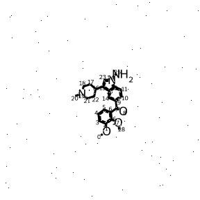 COc1cccc(C(=O)c2ccc3c(c2)c(C2CCN(C)CC2)cn3N)c1OC